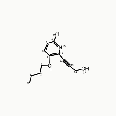 CCCCOc1ccc(Cl)nc1C#CCO